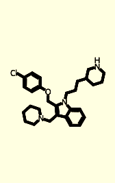 Clc1ccc(OCc2c(CN3CCCCC3)c3ccccc3n2CCCC2CCCNC2)cc1